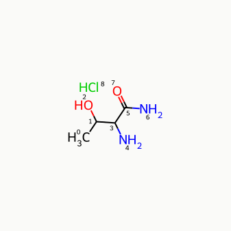 CC(O)C(N)C(N)=O.Cl